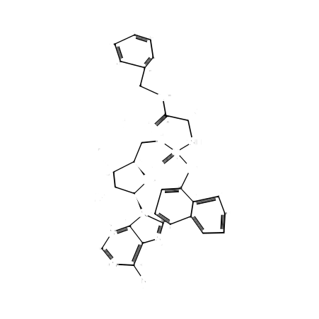 C[C@H](NP(=O)(Oc1cccc2ccccc12)O[C@@H](C)[C@H]1O[C@@H](n2cnc3c(N)ncnc32)[C@H](O)[C@@H]1O)C(=O)OCc1ccccc1